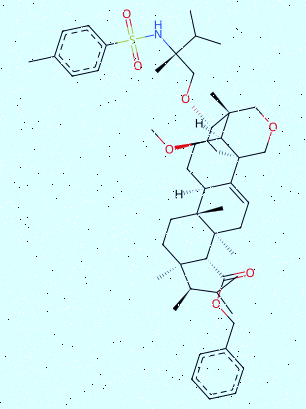 CO[C@@H]1C[C@@]23COC[C@](C)([C@@H]2CC[C@H]2C3=CC[C@@]3(C)[C@H](C(=O)OCc4ccccc4)[C@@](C)([C@H](C)C(C)C)CC[C@]23C)[C@H]1OC[C@](C)(NS(=O)(=O)c1ccc(C)cc1)C(C)C